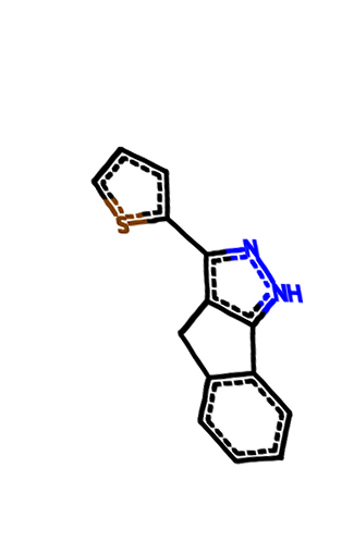 c1csc(-c2n[nH]c3c2Cc2ccccc2-3)c1